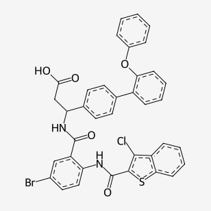 O=C(O)CC(NC(=O)c1cc(Br)ccc1NC(=O)c1sc2ccccc2c1Cl)c1ccc(-c2ccccc2Oc2ccccc2)cc1